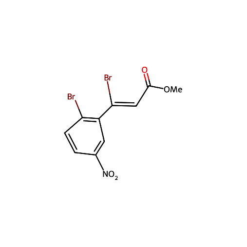 COC(=O)C=C(Br)c1cc([N+](=O)[O-])ccc1Br